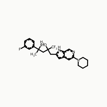 CC(C)(CC(O)(Cc1cc2cc(N3CCCCC3)ncc2[nH]1)C(F)(F)F)c1cccc(F)c1